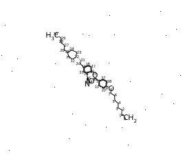 C=CCCCCCCOc1ccc(C(=O)Oc2ccc(CC[C@H]3CC[C@H](CCCCC)CC3)cc2C#N)cc1